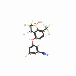 N#Cc1cc(F)cc(Oc2ccc(C(F)(F)F)c3c2[C@@H](F)C(F)(F)[S@+]3[O-])c1